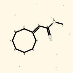 COC(=O)C=C1CCCCCCC1